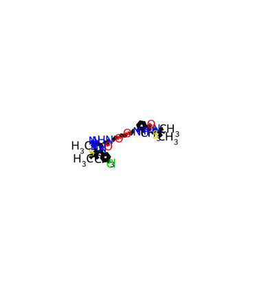 Cc1nc(NC(=O)c2cccc(NCCOCCOCCNC(=O)C[C@@H]3N=C(c4ccc(Cl)cc4)c4c(sc(C)c4C)-n4c(C)nnc43)c2C)sc1C